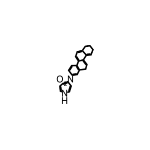 C1=CC=CNC=C1.O=[N+]([O-])c1ccc2c(c1)CC=c1c-2ccc2c1=CCCC2